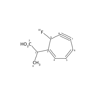 CC(C(=O)O)C1=CC=CC#CC1F